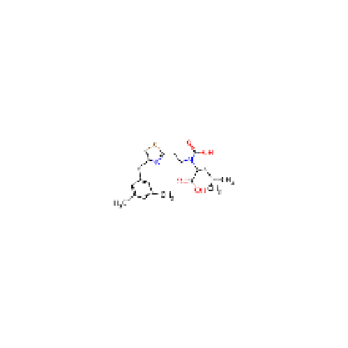 Cc1cc(C)cc(Cc2csc(CCN(C(=O)O)C(CC(C)C)C(=O)O)n2)c1